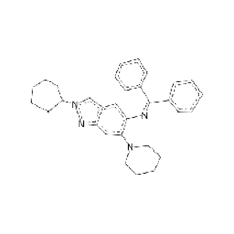 [CH]1CCCCC1n1cc2cc(N=C(c3ccccc3)c3ccccc3)c(N3CCCCC3)cc2n1